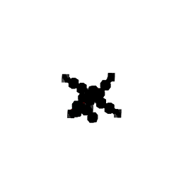 N#Cc1ccc(-c2ccc3c(c2)c2cc(-c4ccc(C#N)cc4)ccc2n3-c2ccccc2-c2ccc(-c3nc(-c4ccccc4)cc(-c4ccccc4)n3)cc2-n2c3ccc(-c4ccc(C#N)cc4)cc3c3cc(-c4ccc(C#N)cc4)ccc32)cc1